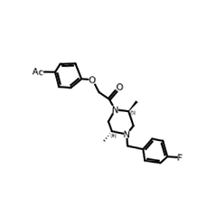 CC(=O)c1ccc(OCC(=O)N2C[C@@H](C)N(Cc3ccc(F)cc3)C[C@@H]2C)cc1